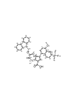 COc1ccc(-c2nc(C(=O)O)c([C@H](C)NC(=O)OCC3c4ccccc4-c4ccccc43)[nH]2)c2ccc(C(F)(F)F)nc12